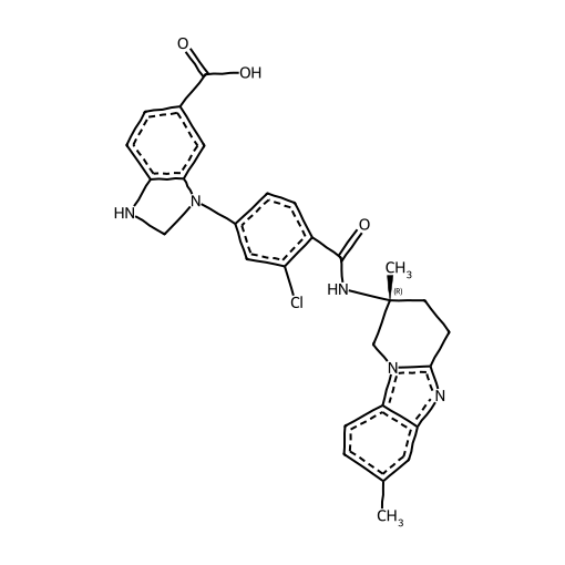 Cc1ccc2c(c1)nc1n2C[C@](C)(NC(=O)c2ccc(N3CNc4ccc(C(=O)O)cc43)cc2Cl)CC1